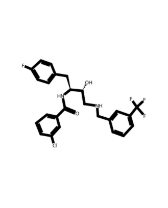 O=C(N[C@@H](Cc1ccc(F)cc1)[C@H](O)CNCc1cccc(C(F)(F)F)c1)c1cccc(Cl)c1